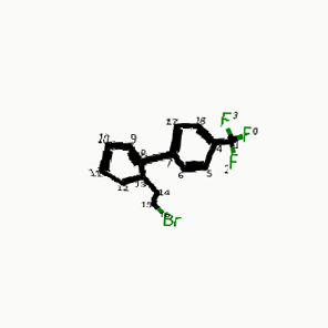 FC(F)(F)c1ccc(-c2ccccc2CCBr)cc1